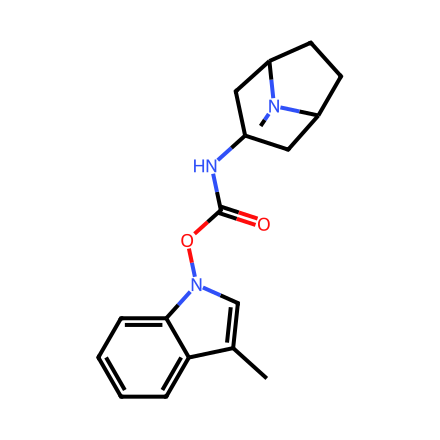 Cc1cn(OC(=O)NC2CC3CCC(C2)N3C)c2ccccc12